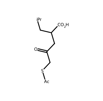 CC(=O)SCC(=O)CC(CC(C)C)C(=O)O